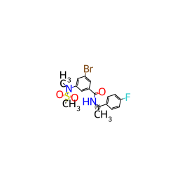 C[C@@H](NC(=O)c1cc(Br)cc(N(C)S(C)(=O)=O)c1)c1ccc(F)cc1